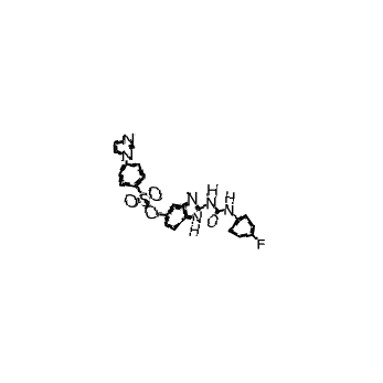 O=C(Nc1ccc(F)cc1)Nc1nc2cc(OS(=O)(=O)c3ccc(-n4ccnc4)cc3)ccc2[nH]1